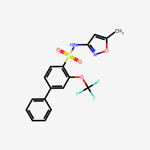 Cc1cc(NS(=O)(=O)c2ccc(-c3ccccc3)cc2OC(F)(F)F)no1